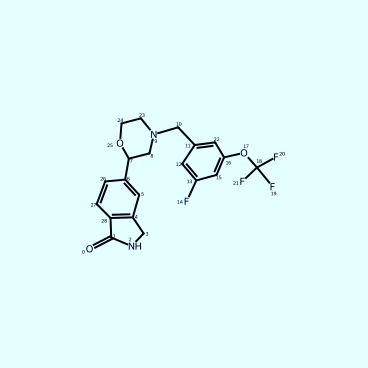 O=C1NCc2cc(C3CN(Cc4cc(F)cc(OC(F)(F)F)c4)CCO3)ccc21